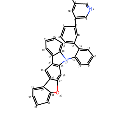 N#Cc1cncc(-c2cccc(-c3ccccc3-n3c4ccccc4c4cc5c(cc43)oc3ccccc35)c2)c1